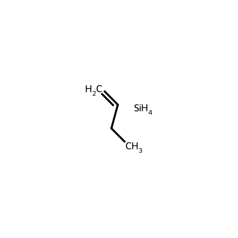 C=CCC.[SiH4]